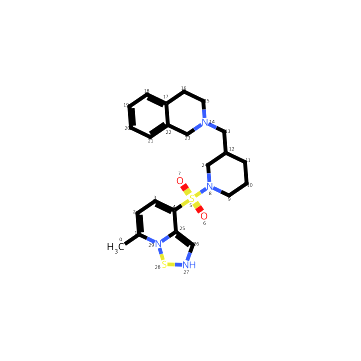 CC1=CC=C(S(=O)(=O)N2CCCC(CN3CCc4ccccc4C3)C2)C2=CNSN12